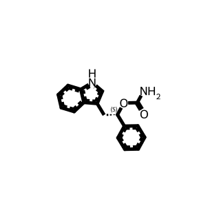 NC(=O)O[C@@H](Cc1c[nH]c2ccccc12)c1ccccc1